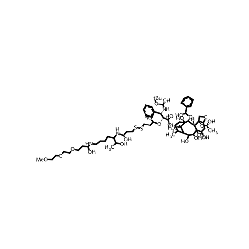 COCCOCCOCCC(O)NCCCCC(NC(O)CCSSCCC(O)O[C@@H](C(O)O[C@H]1CC2(O)[C@@H](OC(O)c3ccccc3)[C@H]3C(C)(C(O)CC4OC[C@]43OC(C)O)C(O)C(O)C(C1C)C2(C)C)[C@@H](NC(O)OC(C)(C)C)c1ccccc1)C(C)O